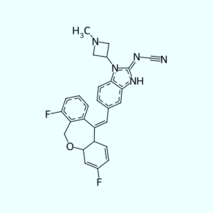 CN1CC(n2/c(=N/C#N)[nH]c3cc(/C=C4\c5cccc(F)c5COC5C=C(F)C=CC45)ccc32)C1